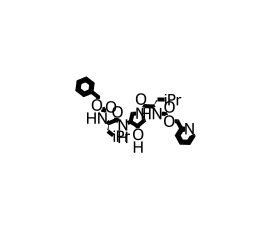 CC(C)C[C@H](NC(=O)OCc1ccccc1)C(=O)NC1CN(C(=O)[C@H](CC(C)C)NC(=O)OCc2ccccn2)CC1O